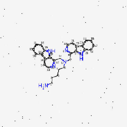 NCCCCCN(Cc1nccc2c1[nH]c1ccccc12)Cc1nccc2c1[nH]c1ccccc12